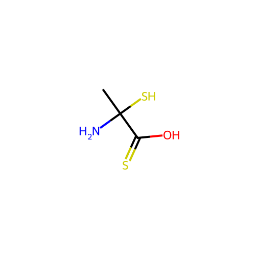 CC(N)(S)C(O)=S